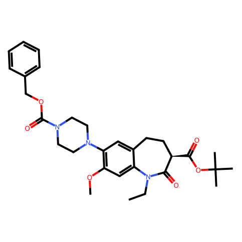 CCN1C(=O)[C@H](C(=O)OC(C)(C)C)CCc2cc(N3CCN(C(=O)OCc4ccccc4)CC3)c(OC)cc21